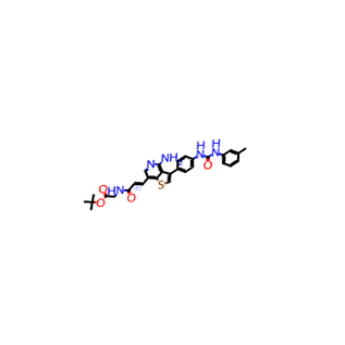 Cc1cccc(NC(=O)Nc2ccc(-c3csc4c(/C=C/C(=O)NCC(=O)OC(C)(C)C)cnc(N)c34)cc2)c1